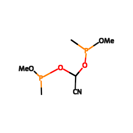 COP(C)OC(C#N)OP(C)OC